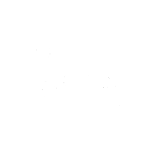 O=C1CN(c2ccc(C=CC3CCCN3S(=O)(=O)c3ccccc3)cc2OCc2ccccc2)S(=O)(=O)N1